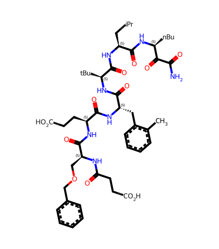 CCCC[C@H](NC(=O)[C@H](CC(C)C)NC(=O)[C@@H](NC(=O)[C@H](Cc1ccccc1C)NC(=O)[C@H](CCC(=O)O)NC(=O)[C@H](COCc1ccccc1)NC(=O)CCC(=O)O)C(C)(C)C)C(=O)C(N)=O